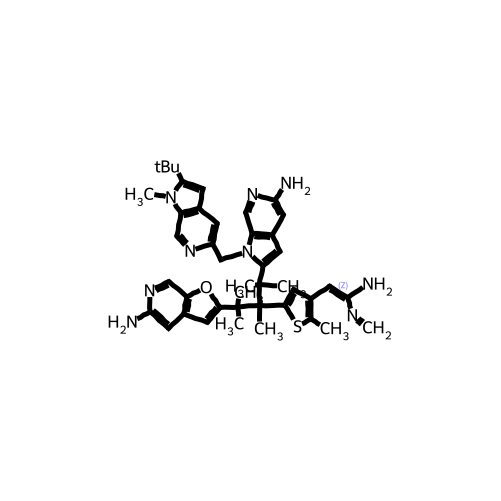 C=N/C(N)=C\c1cc(C(C)(C(C)(C)c2cc3cc(N)ncc3o2)C(C)(C)c2cc3cc(N)ncc3n2Cc2cc3cc(C(C)(C)C)n(C)c3cn2)sc1C